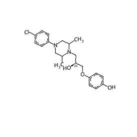 CC1CN(c2ccc(Cl)cc2)CC(C)N1C[C@H](O)COc1ccc(O)cc1